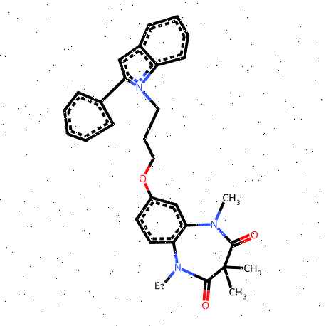 CCN1C(=O)C(C)(C)C(=O)N(C)c2cc(OCCCn3c(-c4ccccc4)cc4ccccc43)ccc21